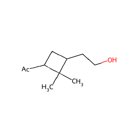 CC(=O)C1CC(CCO)C1(C)C